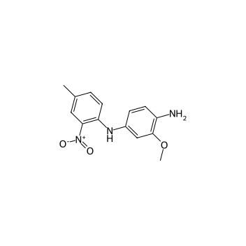 COc1cc(Nc2ccc(C)cc2[N+](=O)[O-])ccc1N